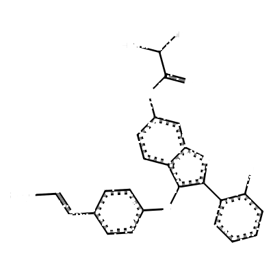 CC(C)c1ccccc1-c1sc2cc(OC(=O)C(N)C(C)C)ccc2c1Oc1ccc(C=CC(=O)O)cc1